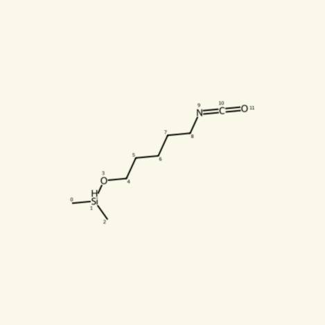 C[SiH](C)OCCCCCN=C=O